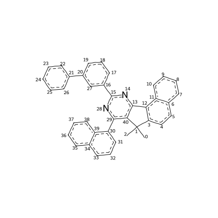 CC1(C)c2ccc3ccccc3c2-c2nc(-c3cccc(-c4ccccc4)c3)nc(-c3cccc4ccccc34)c21